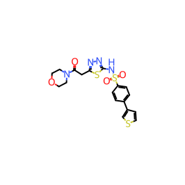 O=C(Cc1nnc(NS(=O)(=O)c2ccc(-c3ccsc3)cc2)s1)N1CCOCC1